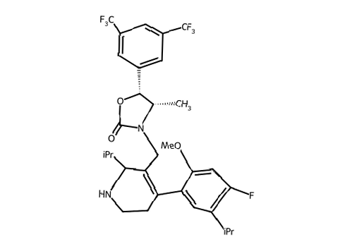 COc1cc(F)c(C(C)C)cc1C1=C(CN2C(=O)O[C@H](c3cc(C(F)(F)F)cc(C(F)(F)F)c3)[C@@H]2C)C(C(C)C)NCC1